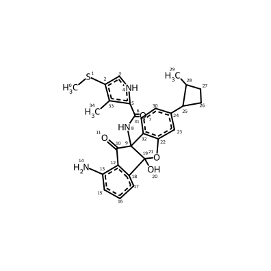 CSc1c[nH]c(C(=O)NC23C(=O)c4c(N)cccc4C2(O)Oc2cc(C4CCC4C)ccc23)c1C